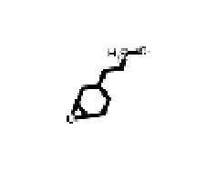 [O][SiH2]CCC1CCC2OC2C1